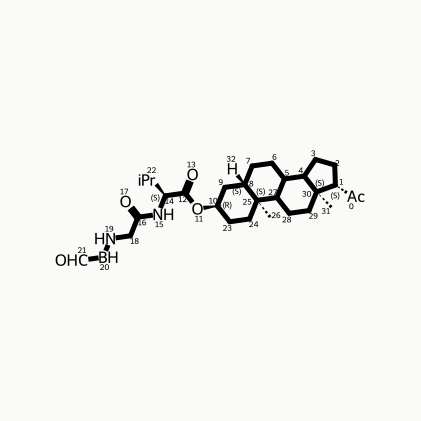 CC(=O)[C@H]1CCC2C3CC[C@H]4C[C@H](OC(=O)[C@@H](NC(=O)CNBC=O)C(C)C)CC[C@]4(C)C3CC[C@@]21C